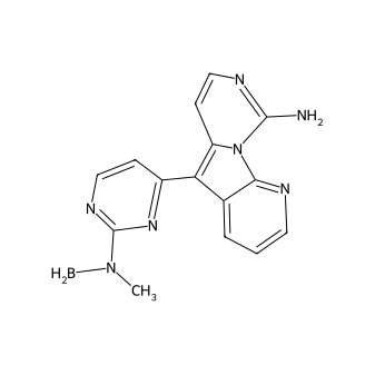 BN(C)c1nccc(-c2c3cccnc3n3c(N)nccc23)n1